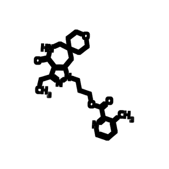 CCc1nn(CCCOC(=O)c2ncccc2C)c2c1C(=O)NCC1(CCOCC1)C2